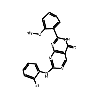 CCCOc1ccccc1-c1nc2nc(Nc3ccccc3CC)ncc2c(=O)[nH]1